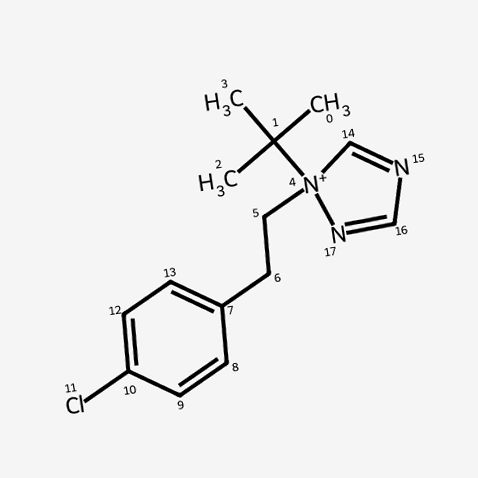 CC(C)(C)[N+]1(CCc2ccc(Cl)cc2)C=NC=N1